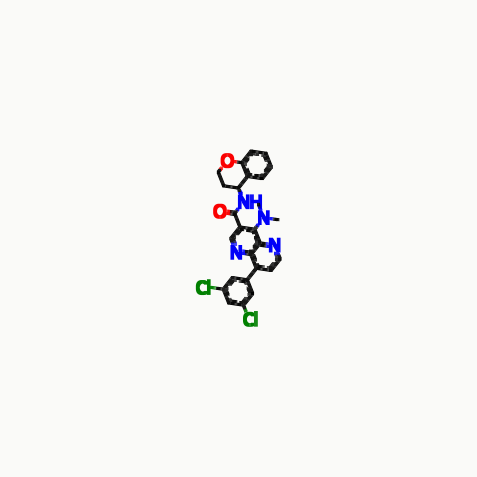 CN(C)c1c(C(=O)N[C@H]2CCOc3ccccc32)cnc2c(-c3cc(Cl)cc(Cl)c3)ccnc12